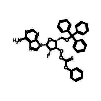 Nc1ncnc2c1ncn2[C@@H]1O[C@H](COC(c2ccccc2)(c2ccccc2)c2ccccc2)[C@@H](OOC(=S)Oc2ccccc2)[C@@H]1F